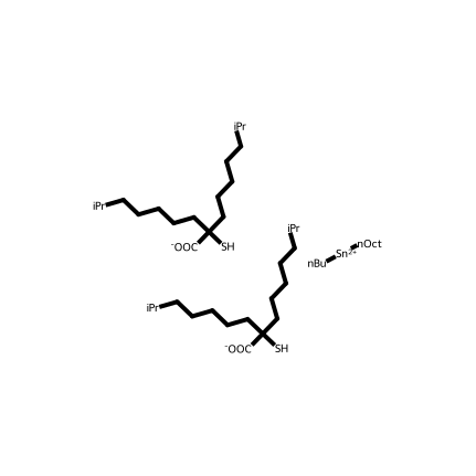 CC(C)CCCCCC(S)(CCCCCC(C)C)C(=O)[O-].CC(C)CCCCCC(S)(CCCCCC(C)C)C(=O)[O-].CCCCCCC[CH2][Sn+2][CH2]CCC